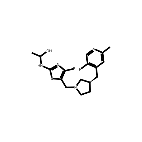 Cc1cc(C[C@H]2CCN(Cc3sc(NC(C)O)nc3F)C2)c(F)cn1